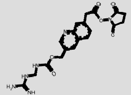 N=C(N)NCNC(=O)OCc1cnc2cc(CC(=O)ON3C(=O)CCC3=O)ccc2c1